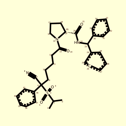 CC(C)S(=O)(=O)C(C#N)(CCCCC(=O)N1CCC[C@@H]1C(=O)NC(c1ccccc1)c1ccccc1)c1ccccc1